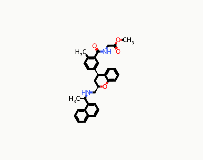 COC(=O)CNC(=O)c1cc([C@@H]2C[C@H](CN[C@H](C)c3cccc4ccccc34)Oc3ccccc32)ccc1C